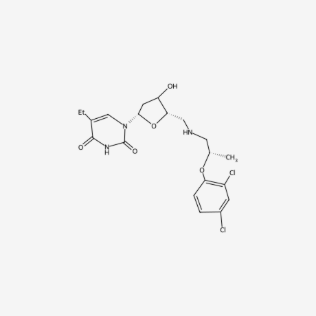 CCc1cn([C@@H]2CC(O)[C@H](CNC[C@H](C)Oc3ccc(Cl)cc3Cl)O2)c(=O)[nH]c1=O